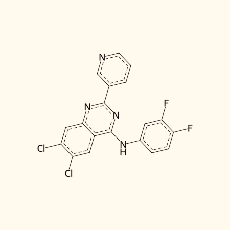 Fc1ccc(Nc2nc(-c3cccnc3)nc3cc(Cl)c(Cl)cc23)cc1F